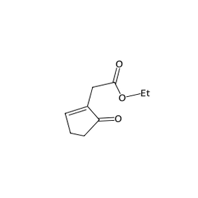 CCOC(=O)CC1=CCCC1=O